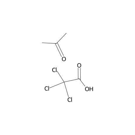 CC(C)=O.O=C(O)C(Cl)(Cl)Cl